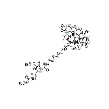 CC[C@@]1(OC(=O)[C@@H](NC(=O)[C@@H]2CCCN2C(=O)[C@H](CC(=O)O)NC(=O)CCOCCOCCOCCNC(=O)[C@H](CCCCNC(=O)OC(C)(C)C)NC(=O)OC(C)(C)C)C(C)C)C(=O)OCc2c1cc1n(c2=O)Cc2cc3cc4c(cc3nc2-1)OCO4